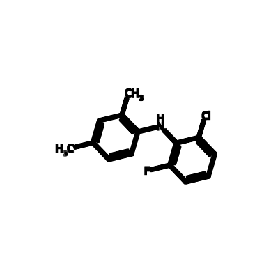 Cc1ccc(Nc2c(F)cccc2Cl)c(C)c1